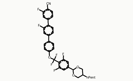 CCCCCC1COC(c2cc(F)c(C(F)(F)Oc3ccc(-c4ccc(-c5ccc(C#N)c(F)c5)c(F)c4)cc3)c(F)c2)OC1